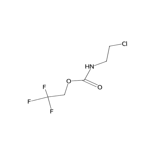 O=C(NCCCl)OCC(F)(F)F